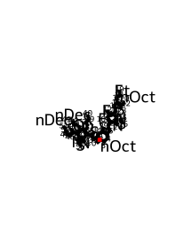 C=CC(CCCCCCCC)Cc1cc(-c2c(F)c(F)c(-c3cc(CC(CC)CCCCCCCC)c(C)s3)c3nsnc23)sc1-c1ccc(-c2c(OCCCCCCCCCCCC)c(OCCCCCCCCCCCC)c(-c3ccc(C)s3)c3nsnc23)s1